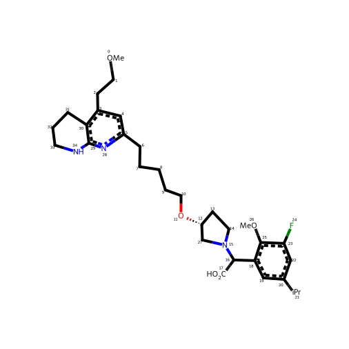 COCCc1cc(CCCCCO[C@@H]2CCN(C(C(=O)O)c3cc(C(C)C)cc(F)c3OC)C2)nc2c1CCCN2